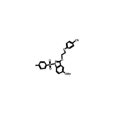 COc1ccc2c(c1)c(OCCOc1ccc(C#N)cc1)nn2S(=O)(=O)c1ccc(C)cc1